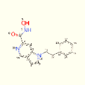 O=C(NO)c1cc2c(ccn2CCc2ccccc2)cn1